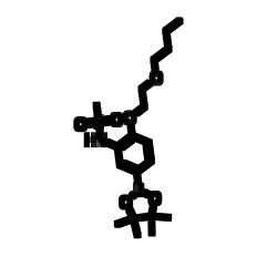 CCCCOCCOc1ccc(B2OC(C)(C)C(C)(C)O2)cc1NS(C)(=O)=O